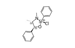 C[C@H]1[C@H](c2ccccc2)O[Si@@](Cl)(c2ccccc2)N1C